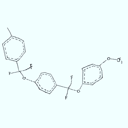 Cc1ccc(C(F)(F)Oc2ccc(C(F)(F)Oc3ccc(OC(F)(F)F)cc3)cc2)cc1